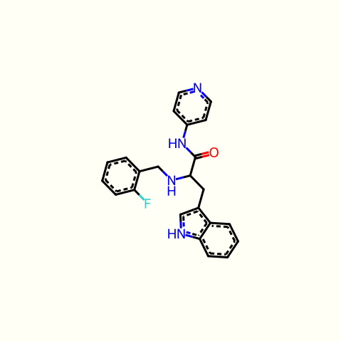 O=C(Nc1ccncc1)C(Cc1c[nH]c2ccccc12)NCc1ccccc1F